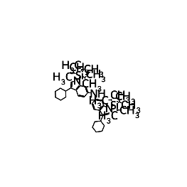 CC(C)[Si](C(C)C)(C(C)C)n1cc(C2CCCCC2)c2ccc(Nc3ccc4c(C5CCCCC5)cn([Si](C(C)C)(C(C)C)C(C)C)c4c3)cc21